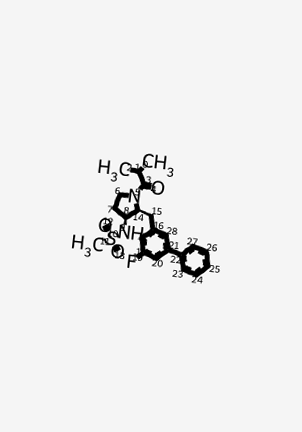 CC(C)C(=O)N1CC[C@H](NS(C)(=O)=O)[C@@H]1Cc1cc(F)cc(-c2ccccc2)c1